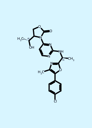 Cc1nc([C@H](C)Nc2nccc(N3C(=O)OCC3[C@@H](C)O)n2)oc1-c1ccc(Cl)cc1